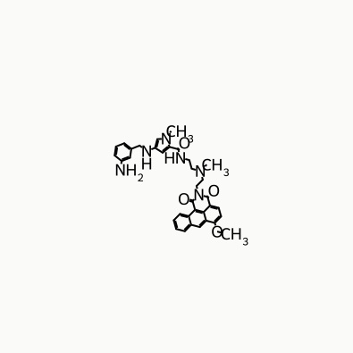 COc1ccc2c3c(c4ccccc4cc13)C(=O)N(CCN(C)CCNC(=O)c1cc(NCc3cccc(N)c3)cn1C)C2=O